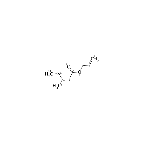 C=CCOC(=O)CC(C)SC